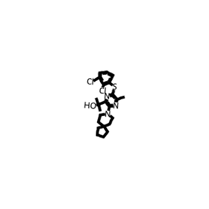 Cc1nc(N2CCC3(CCCC3)CC2)c(C(C)(C)O)nc1Sc1cccc(Cl)c1Cl